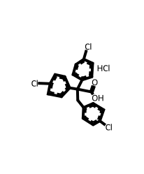 Cl.O=C(O)C(Cc1ccc(Cl)cc1)(c1ccc(Cl)cc1)c1ccc(Cl)cc1